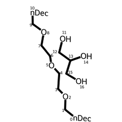 CCCCCCCCCCCOCCOCCOCCCCCCCCCCC.OCC(O)CO